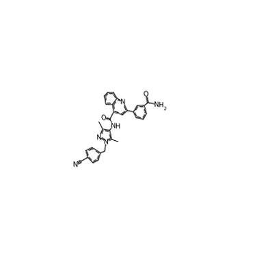 Cc1nn(Cc2ccc(C#N)cc2)c(C)c1NC(=O)c1cc(-c2cccc(C(N)=O)c2)nc2ccccc12